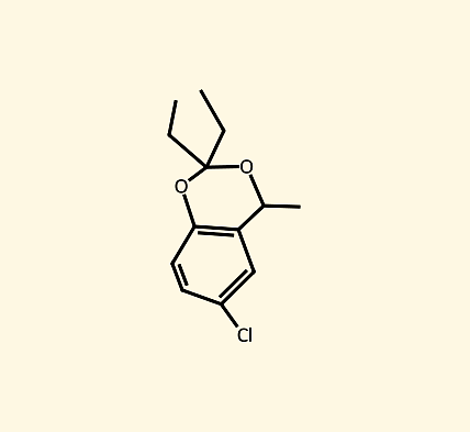 CCC1(CC)Oc2ccc(Cl)cc2C(C)O1